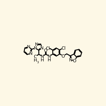 CC(NC(=O)Nc1cc(OCc2noc3ccccc23)c(Cl)cc1Cl)c1ncnn1-c1ncccn1